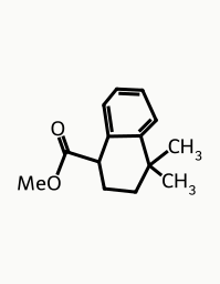 COC(=O)C1CCC(C)(C)c2ccccc21